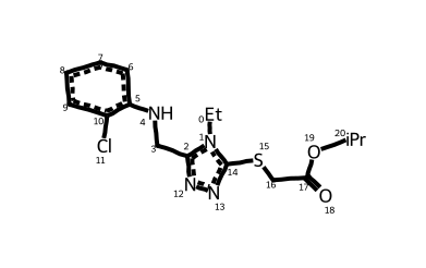 CCn1c(CNc2ccccc2Cl)nnc1SCC(=O)OC(C)C